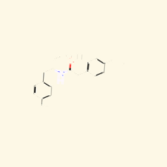 O=C(O)C[C@@H](Cc1ccc(C(F)(F)F)cc1)NC(=O)Cc1ccc(C(F)(F)F)cc1